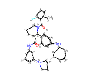 Cc1cccc(F)c1C(=O)N1CCCC(C(=O)Nc2cccc(N3CCCC3)c2)C1c1ccc(NC2CCCCC2)cc1